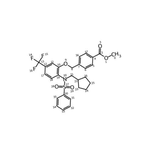 COC(=O)c1ccc(COc2cc(C(F)(F)F)ccc2N(CC2CCCC2)S(=O)(=O)c2ccccc2)cc1